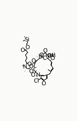 COc1cc2cc(c1Cl)N(C)C(=O)C[C@H](OC(=O)[C@H](C)N(C)C(=O)CCCCC(=O)OCC[Si](C)(C)C)[C@]1(C)OC1[C@H](C)[C@@H]1C[C@@](O)(NC(=O)O1)[C@H](OC)/C=C/C=C(\C)C2